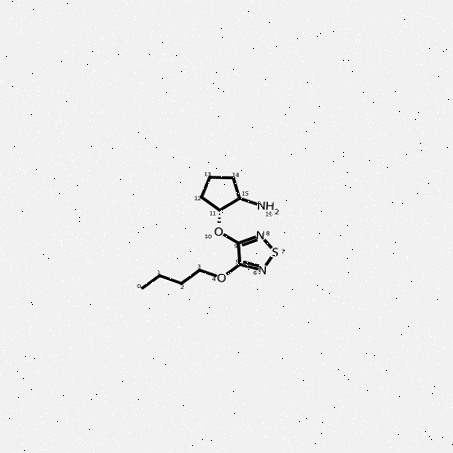 CCCCOc1nsnc1O[C@@H]1CCCC1N